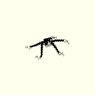 CCCCCCCCCCCCN(CCCCCCCCCCCC)CCc1ccc(CC(=O)O)c(CCN(CCCCCCCCCCCC)CCCCCCCCCCCC)c1CC(=O)O